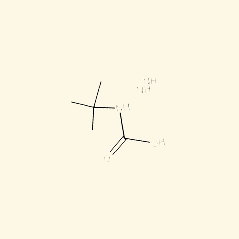 CC(C)(C)NC(=O)O.N.N